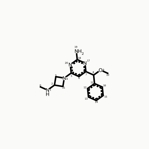 CNC1CN(c2cc(C(OC)c3ccccc3)nc(N)n2)C1